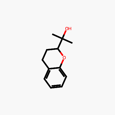 CC(C)(O)C1CCc2ccccc2O1